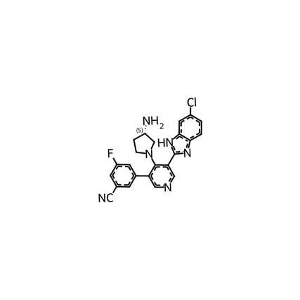 N#Cc1cc(F)cc(-c2cncc(-c3nc4ccc(Cl)cc4[nH]3)c2N2CC[C@H](N)C2)c1